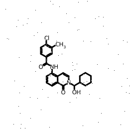 Cc1cc(C(=O)Nc2cccc3c(=O)n(C(O)C4CCCCC4)ccc23)ccc1Cl